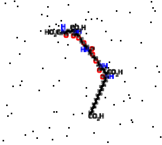 O=C(O)CCCCCCCCCCCCCCCCC(=O)N[C@@H](CCC(=O)NCCOCCOCC(=O)NCCOCCOCC(=O)N[C@@H](CCC(=O)NCC(=O)O)C(=O)O)C(=O)O